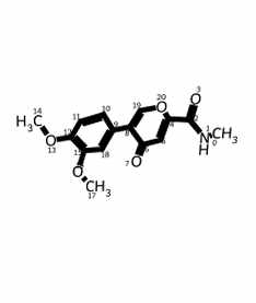 CNC(=O)c1cc(=O)c(-c2ccc(OC)c(OC)c2)co1